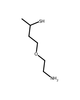 CC(S)CCOCCN